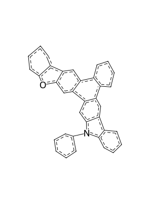 c1ccc(-n2c3ccccc3c3cc4c5ccccc5c5cc6c(cc5c4cc32)oc2ccccc26)cc1